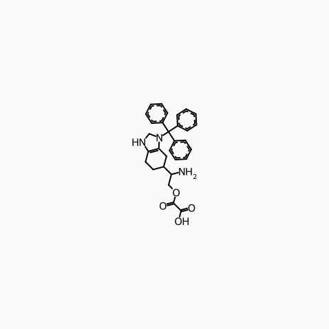 NC(COC(=O)C(=O)O)C1CCC2=C(C1)N(C(c1ccccc1)(c1ccccc1)c1ccccc1)CN2